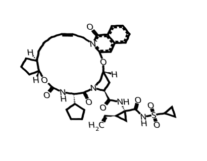 C=C[C@@H]1C[C@]1(NC(=O)[C@@H]1C[C@@H]2CN1C(=O)[C@H](C1CCCC1)NC(=O)O[C@@H]1CCC[C@H]1CCCC=CCn1c(cc3ccccc3c1=O)O2)C(=O)NS(=O)(=O)C1CC1